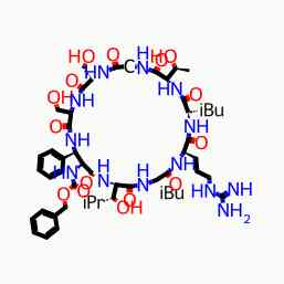 CC[C@H](C)C1NC(=O)[C@H]([C@H](O)C(C)C)NC(=O)[C@@H](NC(=O)OCc2ccccc2)[C@@H](c2ccccc2)NC(=O)C(CO)NC(=O)[C@H](CO)NC(=O)CNC(=O)[C@H]([C@H](C)O)NC(=O)[C@H]([C@@H](C)CC)NC(=O)[C@@H](CCCNC(=N)N)NC1=O